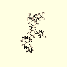 Cc1cnc(-c2cc(OC3CCN(C(=O)OC(C)(C)C)C(C(F)(F)F)C3)cc(C(=O)NC(C)c3cnc(C(F)(F)F)nc3)c2)s1